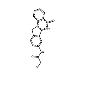 O=C(CCl)Nc1ccc2c(c1)-c1[nH]c(=O)c3ccccc3c1C2